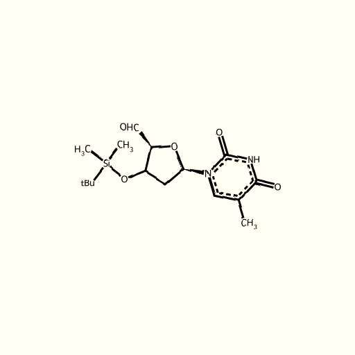 Cc1cn([C@H]2CC(O[Si](C)(C)C(C)(C)C)[C@@H](C=O)O2)c(=O)[nH]c1=O